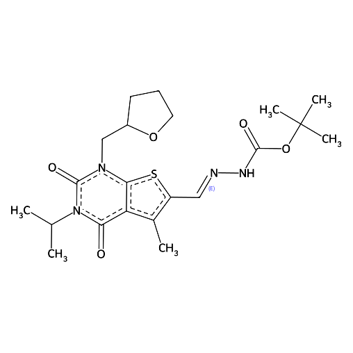 Cc1c(/C=N/NC(=O)OC(C)(C)C)sc2c1c(=O)n(C(C)C)c(=O)n2CC1CCCO1